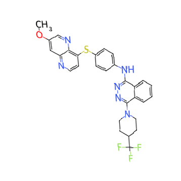 COc1cnc2c(Sc3ccc(Nc4nnc(N5CCC(C(F)(F)F)CC5)c5ccccc45)cc3)ccnc2c1